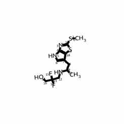 CSc1nc2[nH]cc(CC(C)NCC(F)(F)CO)c2s1